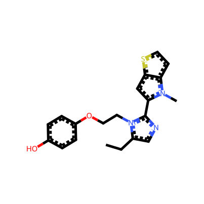 CCc1cnc(-c2cc3sccc3n2C)n1CCOc1ccc(O)cc1